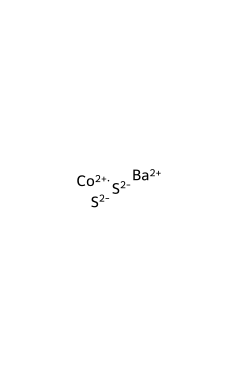 [Ba+2].[Co+2].[S-2].[S-2]